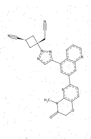 CN1C(=O)COc2ccc(-c3cc(-c4cnn([C@]5(CC#N)C[C@@H](C#N)C5)n4)c4cccnc4c3)nc21